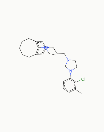 CCNc1c2cc(CCCN3CCN(c4cccc(C)c4Cl)C3)cc1CCCCC2